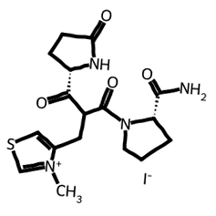 C[n+]1cscc1CC(C(=O)[C@@H]1CCC(=O)N1)C(=O)N1CCC[C@H]1C(N)=O.[I-]